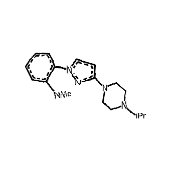 CNc1ccccc1-n1ccc(N2CCN(C(C)C)CC2)n1